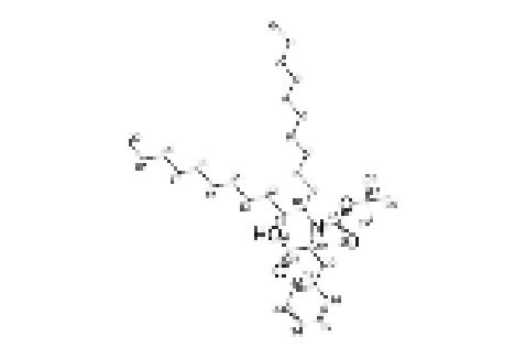 CCCCCCCCCCC(CCCCCCCCCC)N(C(=O)OC(C)(C)C)C(Cc1ccccc1)C(=O)O